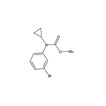 CC(C)(C)OC(=O)N(c1cccc(Br)c1)C1CC1